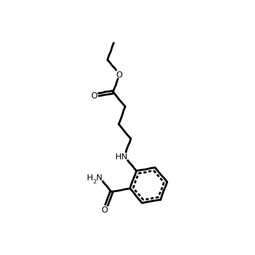 CCOC(=O)CCCNc1ccccc1C(N)=O